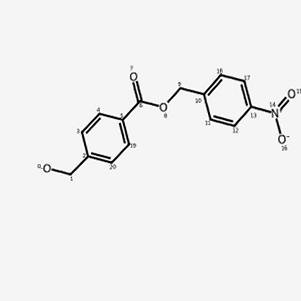 [O]Cc1ccc(C(=O)OCc2ccc([N+](=O)[O-])cc2)cc1